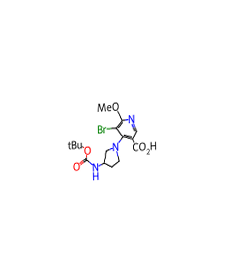 COc1ncc(C(=O)O)c(N2CCC(NC(=O)OC(C)(C)C)C2)c1Br